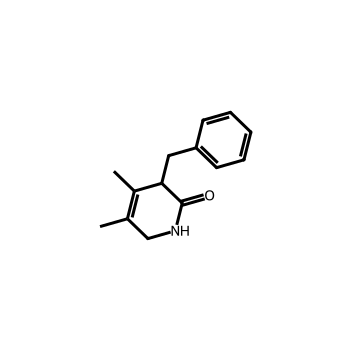 CC1=C(C)C(Cc2ccccc2)C(=O)NC1